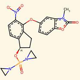 Cn1c(=O)oc2ccc(Oc3c([N+](=O)[O-])ccc4c3CC[C@H]4OP(=O)(N3CC3)N3CC3)cc21